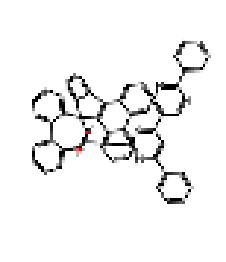 c1ccc(-c2cc(-c3cnc(-c4ccccc4)nc3)nc(-c3ccc4c(c3)C3(c5ccccc5-c5ccccc5-4)c4ccccc4-c4c3c3ccccc3c3ccccc43)n2)cc1